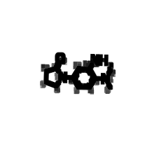 CN(C)c1ccc(N2CCCC2=O)cc1N